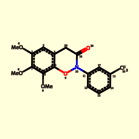 COc1cc2c(c(OC)c1OC)ON(c1cccc(C(F)(F)F)c1)C(=O)C2